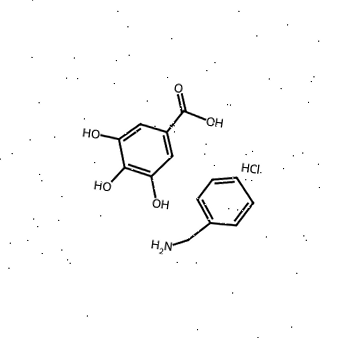 Cl.NCc1ccccc1.O=C(O)c1cc(O)c(O)c(O)c1